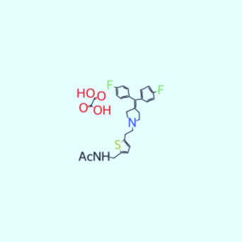 CC(=O)NCc1ccc(CCN2CCC(=C(c3ccc(F)cc3)c3ccc(F)cc3)CC2)s1.O=C(O)C(=O)O